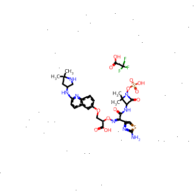 CC1(C)CC(Nc2ccc3cc(OCC(ON=C(C(=O)NC4C(=O)N(OS(=O)(=O)O)C4(C)C)c4csc(N)n4)C(=O)O)ccc3n2)CN1.O=C(O)C(F)(F)F